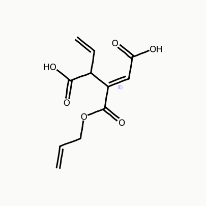 C=CCOC(=O)/C(=C/C(=O)O)C(C=C)C(=O)O